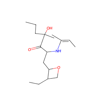 C/C=C(/C)NC(CC1OCC1CC)C(=O)C(C)(O)CCC